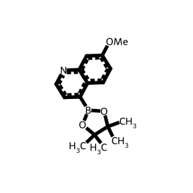 COc1ccc2c(B3OC(C)(C)C(C)(C)O3)ccnc2c1